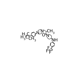 CC(CN1CCN(c2ccc(C(C)(C)C)cc2)CC1)C(=O)N1CCC(Nc2ccc(SC(F)(F)F)cc2)CC1